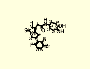 O=C(Cc1[nH]c(=S)n2c1C[C@H](c1c(F)ccc(Br)c1F)C2)NC1CCS(O)(O)CC1